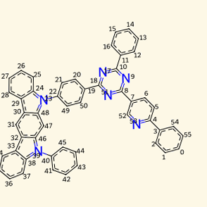 c1ccc(-c2ccc(-c3nc(-c4ccccc4)nc(-c4ccc(-n5c6ccccc6c6cc7c8ccccc8n(-c8ccccc8)c7cc65)cc4)n3)cn2)cc1